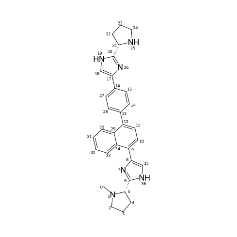 CN1CCC[C@H]1c1nc(-c2ccc(-c3ccc(-c4c[nH]c([C@@H]5CCCN5)n4)cc3)c3ccccc23)c[nH]1